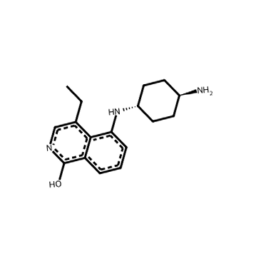 CCc1cnc(O)c2cccc(N[C@H]3CC[C@H](N)CC3)c12